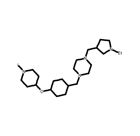 CCN1CCC(CN2CCN(CC3CCC(OC4CCN(I)CC4)CC3)CC2)C1